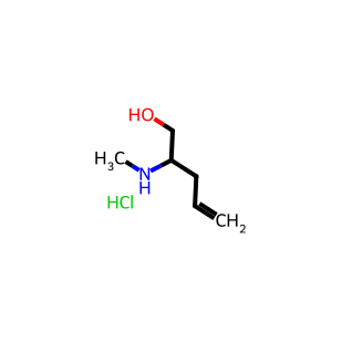 C=CCC(CO)NC.Cl